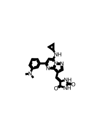 CN(C)c1cccc(-c2cc(NC3CC3)n3ncc(C=C4NC(=O)NC4=O)c3n2)c1